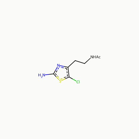 CC(=O)NCCc1nc(N)sc1Cl